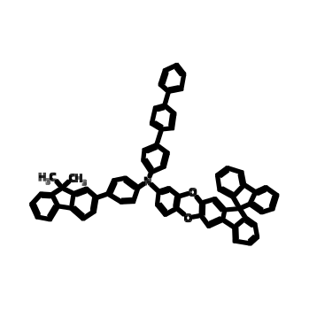 CC1(C)c2ccccc2-c2ccc(-c3ccc(N(c4ccc(-c5ccc(-c6ccccc6)cc5)cc4)c4ccc5c(c4)Oc4cc6c(cc4O5)-c4ccccc4C64c5ccccc5-c5ccccc54)cc3)cc21